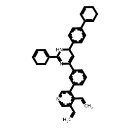 C=Cc1cncc(-c2cccc(C3=CC(c4ccc(C5=CCCC=C5)cc4)NC(C4=CC=CCC4)=N3)c2)c1C=C